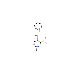 Cc1ccc2c(n1)N(C)CCN(c1cccc(O)c1)C2=O